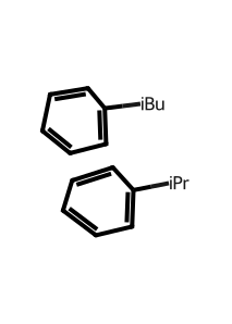 CC(C)c1ccccc1.CCC(C)c1ccccc1